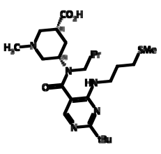 CSCCCNc1nc(C(C)(C)C)ncc1C(=O)N(CC(C)C)[C@H]1C[C@@H](C(=O)O)CN(C)C1